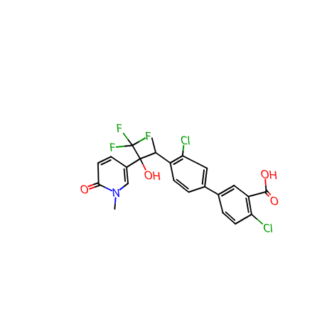 CC(c1ccc(-c2ccc(Cl)c(C(=O)O)c2)cc1Cl)C(O)(c1ccc(=O)n(C)c1)C(F)(F)F